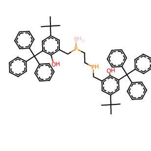 BP(CCPCc1cc(C(C)(C)C)cc(C(c2ccccc2)(c2ccccc2)c2ccccc2)c1O)Cc1cc(C(C)(C)C)cc(C(c2ccccc2)(c2ccccc2)c2ccccc2)c1O